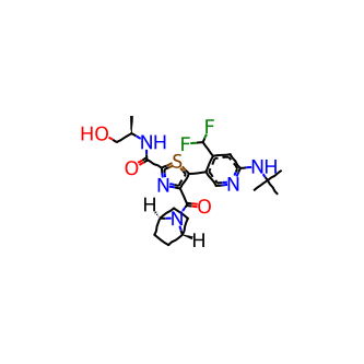 C[C@H](CO)NC(=O)c1nc(C(=O)N2[C@H]3CC[C@H]2CC3)c(-c2cnc(NC(C)(C)C)cc2C(F)F)s1